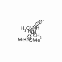 COc1ccc(-c2c(C)nn3c(NCc4cc[n+]([O-])cc4)nc(C)nc23)cc1OC